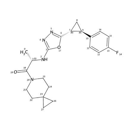 C[C@H](Nc1nnc([C@@H]2C[C@H]2c2ccc(F)cc2)o1)C(=O)N1CCC2(CC1)CC2